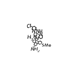 CSc1ccc(C(=O)N(C)c2cccnc2C(=O)Nc2ccc(Cl)cn2)c(OCCN)c1